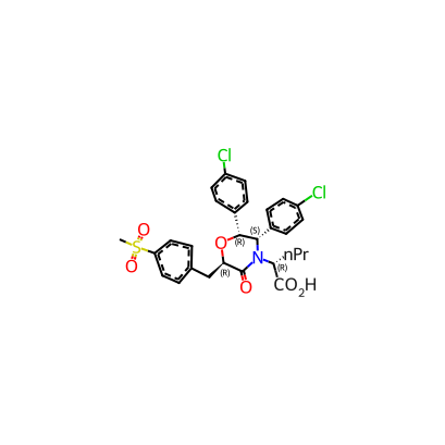 CCC[C@H](C(=O)O)N1C(=O)[C@@H](Cc2ccc(S(C)(=O)=O)cc2)O[C@H](c2ccc(Cl)cc2)[C@@H]1c1ccc(Cl)cc1